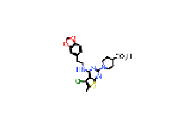 Cc1sc2nc(N3CCC(C(=O)O)CC3)nc(NCCc3ccc4c(c3)OCO4)c2c1Cl